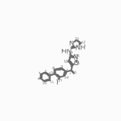 CC(c1ccc(-c2ccccc2)c(F)c1)c1cc(NC2=NCCN2)no1